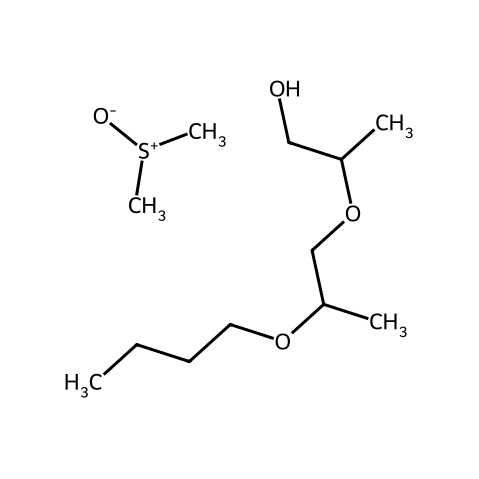 CCCCOC(C)COC(C)CO.C[S+](C)[O-]